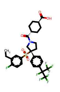 CCc1cc(S(=O)(=O)[C@@]2(c3ccc(C(F)(C(F)(F)F)C(F)(F)F)cc3)CCN(C(=O)[C@H]3CC[C@H](C(=O)O)CC3)C2)ccc1F